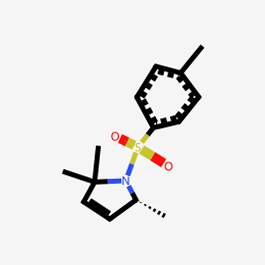 Cc1ccc(S(=O)(=O)N2[C@H](C)C=CC2(C)C)cc1